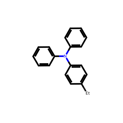 CCc1ccc(N(c2ccccc2)c2ccccc2)cc1